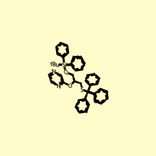 CC(C)(C)[Si](OCC(CSC(c1ccccc1)(c1ccccc1)c1ccccc1)Oc1cnccn1)(c1ccccc1)c1ccccc1